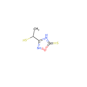 CC(S)c1noc(=S)[nH]1